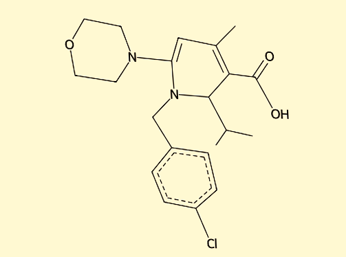 CC1=C(C(=O)O)C(C(C)C)N(Cc2ccc(Cl)cc2)C(N2CCOCC2)=C1